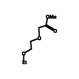 CCOCCOCC(=O)OC